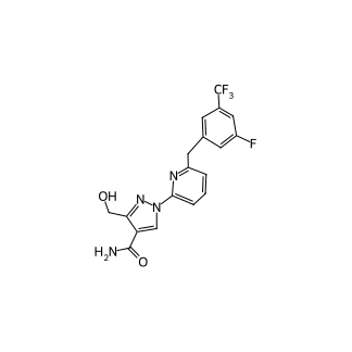 NC(=O)c1cn(-c2cccc(Cc3cc(F)cc(C(F)(F)F)c3)n2)nc1CO